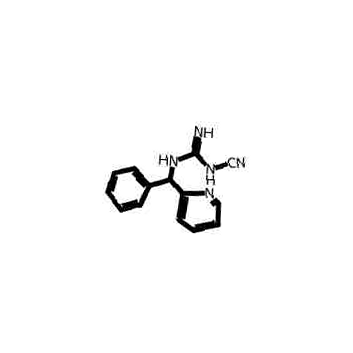 N#CNC(=N)NC(c1ccccc1)c1ccccn1